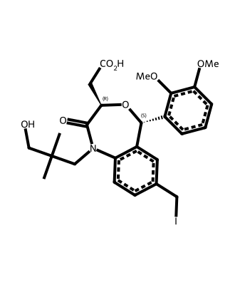 COc1cccc([C@H]2O[C@H](CC(=O)O)C(=O)N(CC(C)(C)CO)c3ccc(CI)cc32)c1OC